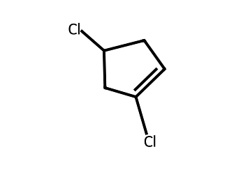 ClC1=CCC(Cl)C1